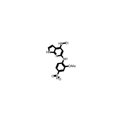 CCNc1cc(Nc2ccc([SH](=O)=O)cc2OC)nc2[nH]ccc12